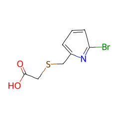 O=C(O)CSCc1cccc(Br)n1